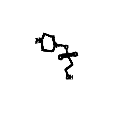 O=S(=O)(CCO)ON1CCNCC1